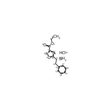 CCOC(=O)c1noc([C@H](N)Cc2ccccc2)n1.Cl